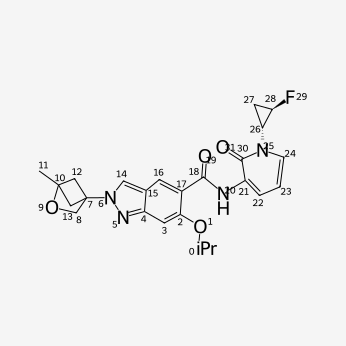 CC(C)Oc1cc2nn(C34COC(C)(C3)C4)cc2cc1C(=O)Nc1cccn([C@@H]2C[C@H]2F)c1=O